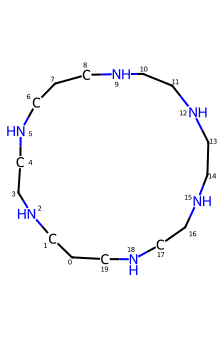 C1CNCCNCCCNCCNCCNCCNC1